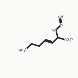 N=NNC(/C=C/CCC(=O)O)C(=O)O